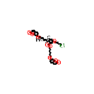 O=C(O)c1cc(OCCCCCl)cc(C(=O)OCCCCCCOc2ccc3ccc(=O)oc3c2)c1CCCCCCOc1ccc2ccc(=O)oc2c1